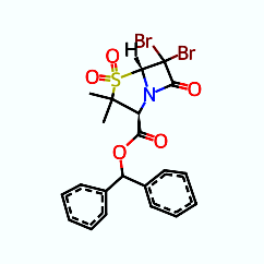 CC1(C)[C@H](C(=O)OC(c2ccccc2)c2ccccc2)N2C(=O)C(Br)(Br)[C@H]2S1(=O)=O